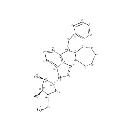 OC[C@H]1O[C@@H](n2cnc3c(N(Cc4ccccc4)C4CCCCCC4)ncnc32)[C@H](O)[C@@H]1O